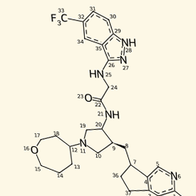 Cc1cc2c(cn1)C(C[C@H]1CN(C3CCCOCC3)CC1NC(=O)CNc1n[nH]c3ccc(C(F)(F)F)cc13)CC2